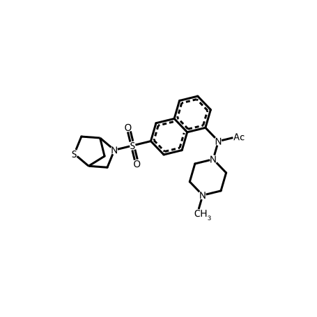 CC(=O)N(c1cccc2cc(S(=O)(=O)N3CC4CC3CS4)ccc12)N1CCN(C)CC1